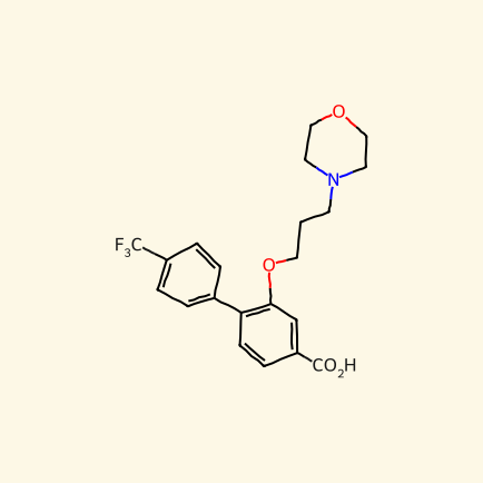 O=C(O)c1ccc(-c2ccc(C(F)(F)F)cc2)c(OCCCN2CCOCC2)c1